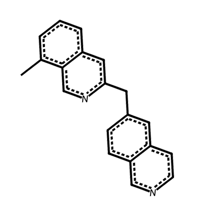 Cc1cccc2cc(Cc3ccc4cnccc4c3)ncc12